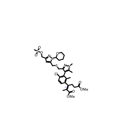 COC(=O)CC/C(=C(/C)C(=O)OC)c1ccc(Cl)c(-c2c(CSCc3cc(COS(C)(=O)=O)nn3C3CCCCO3)nn(C)c2C)c1C